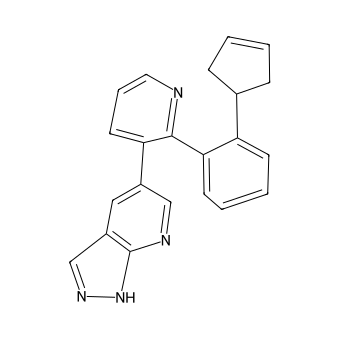 C1=CCC(c2ccccc2-c2ncccc2-c2cnc3[nH]ncc3c2)C1